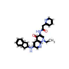 CCn1cc(NC(=O)Cc2ccccn2)c(=O)c2cc(NC3Cc4ccccc4C3)cnc21